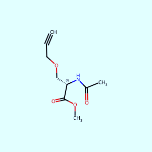 C#CCOC[C@H](NC(C)=O)C(=O)OC